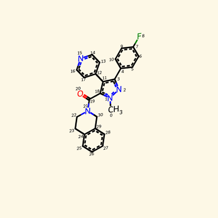 Cn1nc(-c2ccc(F)cc2)c(-c2ccncc2)c1C(=O)N1CCc2ccccc2C1